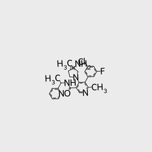 Cc1ncc(C(=O)NC(C)c2ccccn2)c(N2CC[C@](C)(N)C2)c1-c1cc(F)cc(Cl)c1